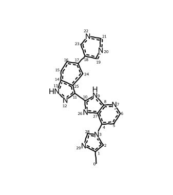 Cc1cn(-c2ccnc3[nH]c(-c4n[nH]c5ccc(-c6cncnc6)cc45)nc23)cn1